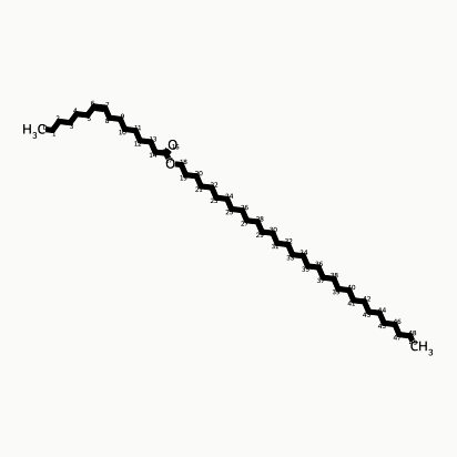 CCCCCC/C=C\CCCCCCCC(=O)OCCCCCCCCCCCCCCCCCCCCCCCCCCCCCCCC